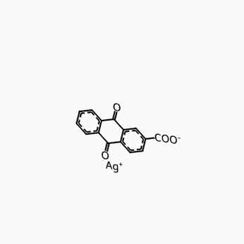 O=C([O-])c1ccc2c(c1)C(=O)c1ccccc1C2=O.[Ag+]